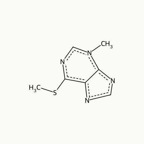 CSc1ncn(C)c2ncnc1-2